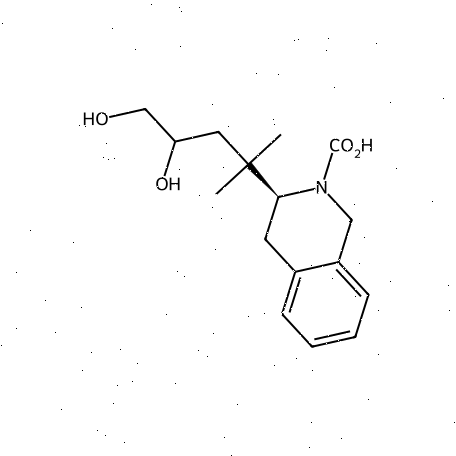 CC(C)(CC(O)CO)[C@@H]1Cc2ccccc2CN1C(=O)O